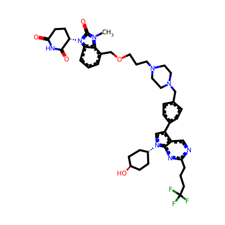 Cn1c(=O)n([C@H]2CCC(=O)NC2=O)c2cccc(COCCCN3CCN(Cc4ccc(-c5cn([C@H]6CC[C@H](O)CC6)c6nc(CCCC(F)(F)F)ncc56)cc4)CC3)c21